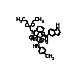 CCOC(CN1C(=O)C(NC(=O)Nc2ccc(C)cc2)(C(C)C(=O)Nc2ccc3[nH]ccc3c2)c2ccccc21)OCC